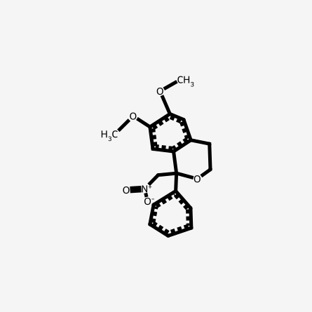 COc1cc2c(cc1OC)C(C[N+](=O)[O-])(c1ccccc1)OCC2